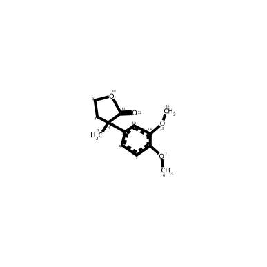 COc1ccc(C2(C)CCOC2=O)cc1OC